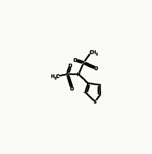 CS(=O)(=O)N(c1[c]scc1)S(C)(=O)=O